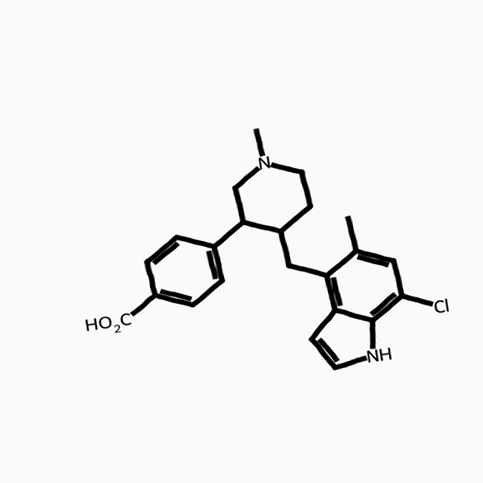 Cc1cc(Cl)c2[nH]ccc2c1CC1CCN(C)CC1c1ccc(C(=O)O)cc1